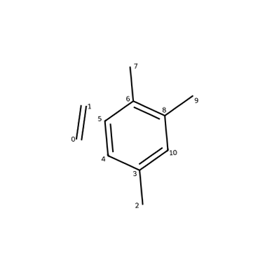 C=C.Cc1ccc(C)c(C)c1